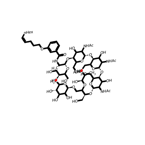 CCCCCC/C=C\CCCOc1cccc(C(=O)NC(C)[C@@H](OC(CO)[C@@H](O)CO)O[C@@H]2C(CO)O[C@@H](O[C@@H]3C(CO)O[C@@H](O[C@@H]4C(CO)O[C@@H](O[C@@H](CO)C(CO[C@@H]5OC(C)[C@@H](O)C(O)C5O)O[C@@H](O)C(C)NC(C)=O)C(NC(C)=O)C4O)C(NC(C)=O)C3O)C(NC(C)=O)C2O)c1